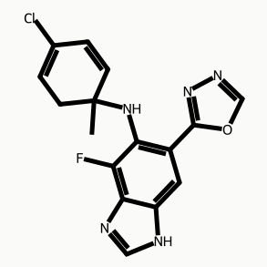 CC1(Nc2c(-c3nnco3)cc3[nH]cnc3c2F)C=CC(Cl)=CC1